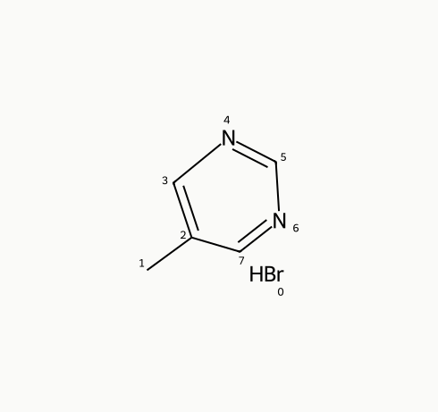 Br.Cc1cncnc1